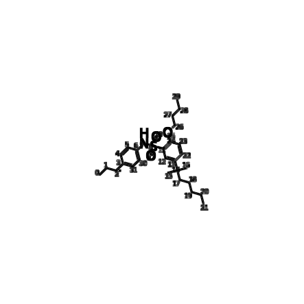 CC[CH]c1ccc(NS(=O)(=O)c2cc(C(C)(C)CCCCC)ccc2OCCCC)cc1